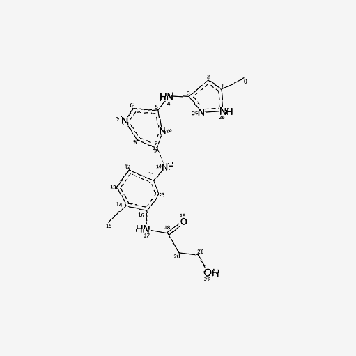 Cc1cc(Nc2cncc(Nc3ccc(C)c(NC(=O)CCO)c3)n2)n[nH]1